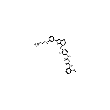 COc1ccccc1NC(=O)CC(=O)Nc1ccc(Oc2ccnc3cc(-c4cccc(OCCCN)c4)sc23)c(F)c1